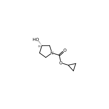 O=C(OC1CC1)N1CC[C@H](O)C1